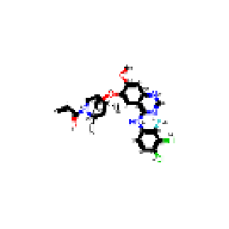 C=CC(=O)N1CC2CC[C@H]1C[C@@H]2Oc1cc2c(Nc3ccc(Cl)c(Cl)c3F)ncnc2cc1OC